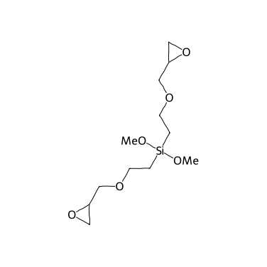 CO[Si](CCOCC1CO1)(CCOCC1CO1)OC